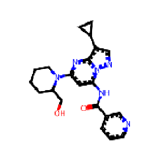 O=C(Nc1cc(N2CCCCC2CO)nc2c(C3CC3)cnn12)c1cccnc1